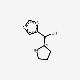 OC(c1cncs1)[C@H]1CCCN1